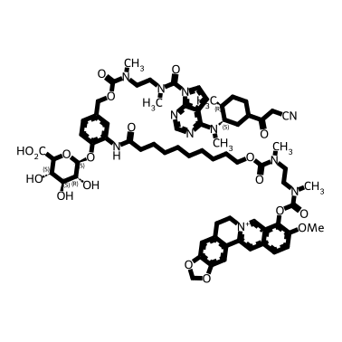 COc1ccc2cc3[n+](cc2c1OC(=O)N(C)CCN(C)C(=O)OCCCCCCCCCC(=O)Nc1cc(COC(=O)N(C)CCN(C)C(=O)n2ccc4c(N(C)[C@H]5CC(C(=O)CC#N)CC[C@H]5C)ncnc42)ccc1O[C@@H]1OC(C(=O)O)[C@@H](O)[C@H](O)[C@H]1O)CCc1cc2c(cc1-3)OCO2